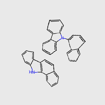 c1ccc2c(-n3c4ccccc4c4ccccc43)cccc2c1.c1ccc2c(c1)ccc1c3ccccc3[nH]c21